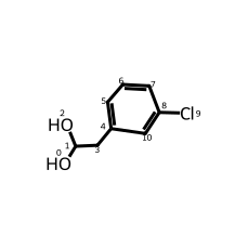 OC(O)Cc1cccc(Cl)c1